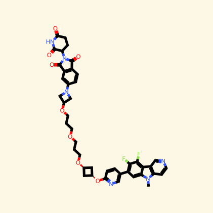 Cn1c2ccncc2c2c(F)c(F)c(-c3ccc(O[C@H]4C[C@H](OCCCOCCCOC5CN(c6ccc7c(c6)C(=O)N(C6CCC(=O)NC6=O)C7=O)C5)C4)nc3)cc21